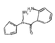 Nc1ccccc1C(=O)N(N)c1ccccc1